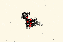 CCC(CC)CN(CCN1[C@@H]2CC[C@H]1C[C@@H](c1cccc(C(N)=O)c1)C2)C(=O)[C@H](O)CO